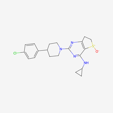 [O-][S+]1CCc2nc(N3CCC(c4ccc(Cl)cc4)CC3)nc(NC3CC3)c21